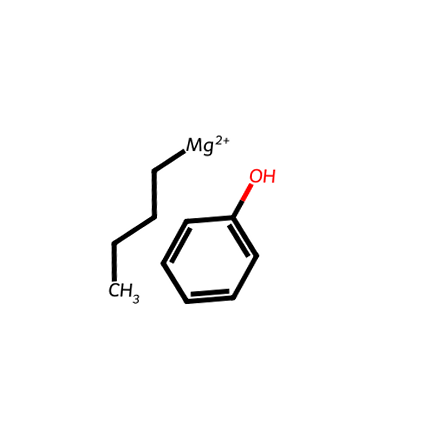 CCC[CH2][Mg+2].Oc1ccccc1